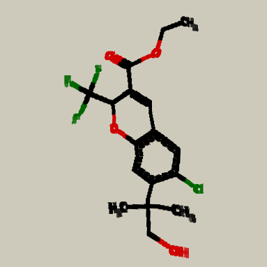 CCOC(=O)C1=Cc2cc(Cl)c(C(C)(C)CO)cc2OC1C(F)(F)F